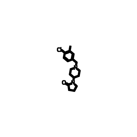 Cc1cc(CN2CCC(N3CCCC3=O)CC2)ccc1Cl